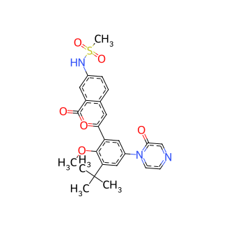 COc1c(-c2cc3ccc(NS(C)(=O)=O)cc3c(=O)o2)cc(-n2ccncc2=O)cc1C(C)(C)C